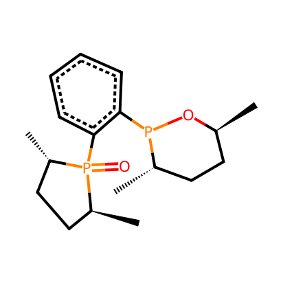 C[C@H]1CC[C@H](C)P(c2ccccc2P2(=O)[C@@H](C)CC[C@@H]2C)O1